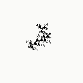 CCN(CC)C(=S)S.CCN(CC)C(=S)S.CCN(CC)C(=S)S.CCN(CC)C(=S)S.[Mo]